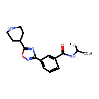 CC(NC(=O)c1cccc(-c2noc(C3CCNCC3)n2)c1)C(=O)O